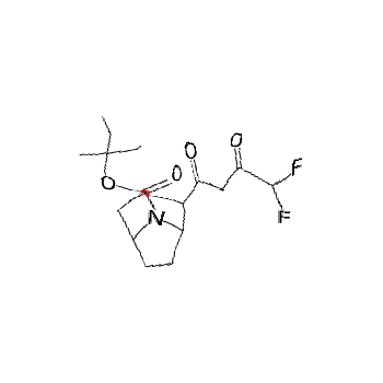 CC(C)(C)OC(=O)N1C2CCC(C(=O)CC(=O)C(F)F)C1CC2